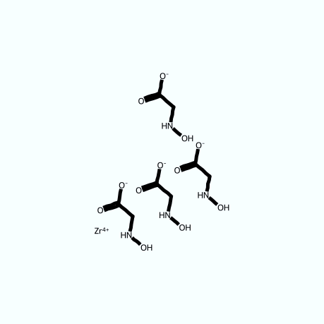 O=C([O-])CNO.O=C([O-])CNO.O=C([O-])CNO.O=C([O-])CNO.[Zr+4]